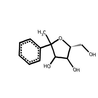 CC1(c2ccccc2)O[C@H](CO)C(O)C1O